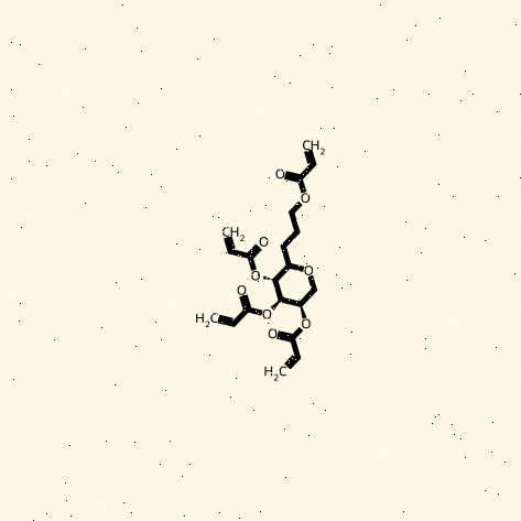 C=CC(=O)OCCCC1OC[C@@H](OC(=O)C=C)[C@@H](OC(=O)C=C)[C@@H]1OC(=O)C=C